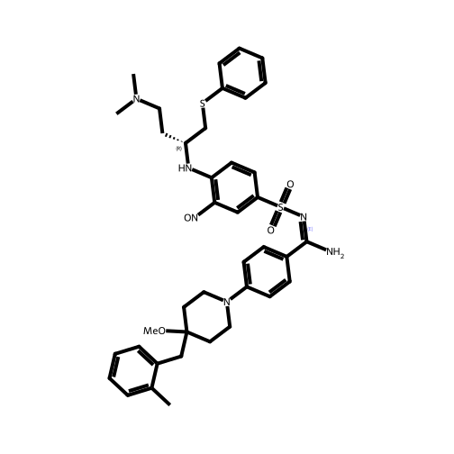 COC1(Cc2ccccc2C)CCN(c2ccc(/C(N)=N\S(=O)(=O)c3ccc(N[C@H](CCN(C)C)CSc4ccccc4)c(N=O)c3)cc2)CC1